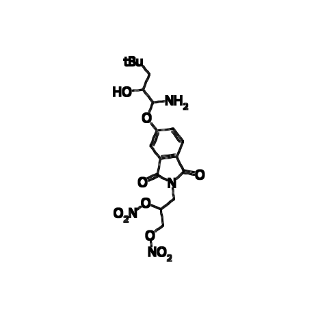 CC(C)(C)CC(O)C(N)Oc1ccc2c(c1)C(=O)N(CC(CO[N+](=O)[O-])O[N+](=O)[O-])C2=O